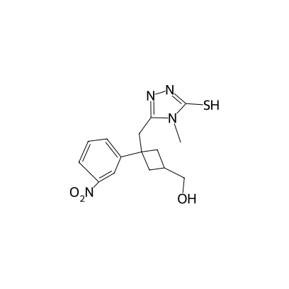 Cn1c(S)nnc1CC1(c2cccc([N+](=O)[O-])c2)CC(CO)C1